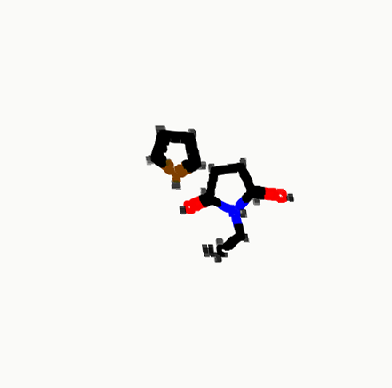 CCN1C(=O)CCC1=O.c1ccsc1